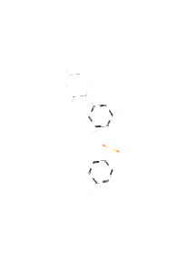 Cc1ccc(S(=O)(=O)Oc2ccc(C3CCCCC3)cc2)cc1